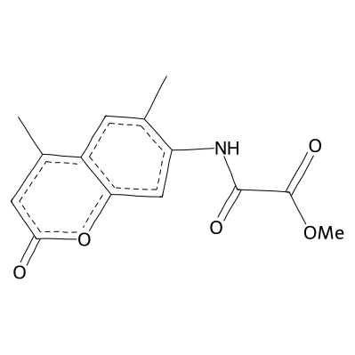 COC(=O)C(=O)Nc1cc2oc(=O)cc(C)c2cc1C